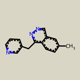 Cc1ccc2c(Cc3cccnc3)nncc2c1